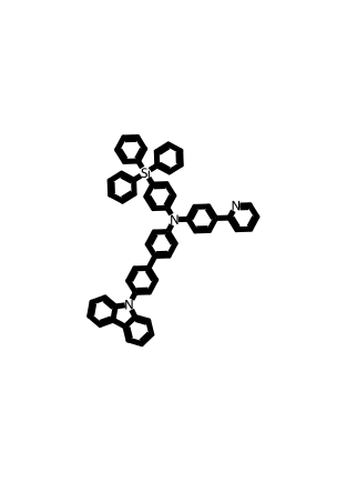 c1ccc([Si](c2ccccc2)(c2ccccc2)c2ccc(N(c3ccc(-c4ccc(-n5c6ccccc6c6ccccc65)cc4)cc3)c3ccc(-c4ccccn4)cc3)cc2)cc1